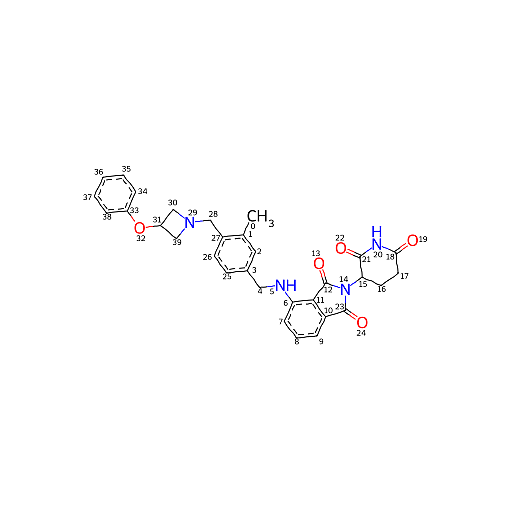 Cc1cc(CNc2cccc3c2C(=O)N(C2CCC(=O)NC2=O)C3=O)ccc1CN1CC(Oc2ccccc2)C1